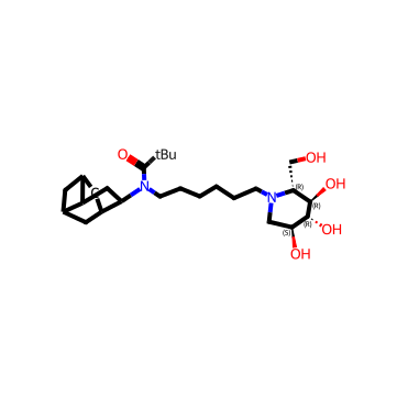 CC(C)(C)C(=O)N(CCCCCCN1C[C@H](O)[C@@H](O)[C@H](O)[C@H]1CO)C1CC2C3CC2CC1C3